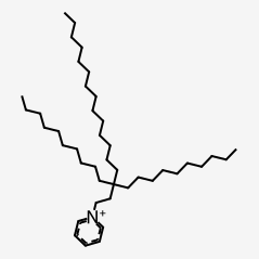 CCCCCCCCCCCCCCC(CCCCCCCCCC)(CCCCCCCCCC)CC[n+]1ccccc1